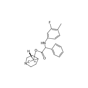 Cc1ccc(NC(C(=O)O[C@H]2CN3CCC2CC3)c2ccccc2)cc1F